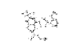 COc1nccnc1C1CCN(c2nc(C3(O)CCC3)nc3ccc(N(C)CCO)cc23)CC1